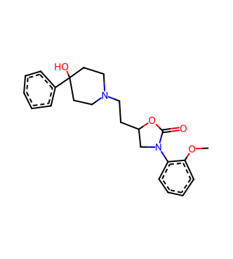 COc1ccccc1N1CC(CCN2CCC(O)(c3ccccc3)CC2)OC1=O